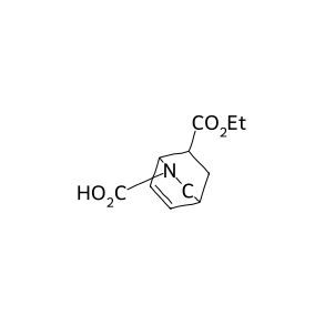 CCOC(=O)C1CC2C=CC1N(C(=O)O)C2